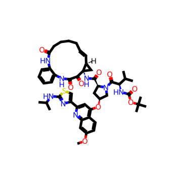 COc1ccc2c(O[C@H]3C[C@@H](C(=O)N[C@@]45C[C@@H]4/C=C/CCCCC(=O)Nc4ccccc4NC(=O)C5=O)N(C(=O)[C@H](NC(=O)OC(C)(C)C)C(C)C)C3)cc(-c3csc(NC(C)C)n3)nc2c1